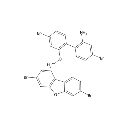 Brc1ccc2c(c1)oc1cc(Br)ccc12.COc1cc(Br)ccc1-c1ccc(Br)cc1N